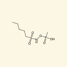 CCCCCS(=O)(=O)NOP(C)(=O)O